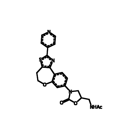 CC(=O)NCC1CN(c2ccc3c(c2)OCCc2sc(-c4ccncc4)nc2-3)C(=O)O1